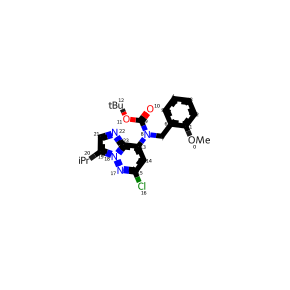 COc1ccccc1CN(C(=O)OC(C)(C)C)c1cc(Cl)nn2c(C(C)C)cnc12